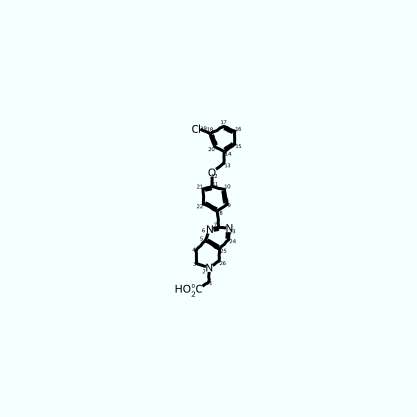 O=C(O)CN1CCc2nc(-c3ccc(OCc4cccc(Cl)c4)cc3)ncc2C1